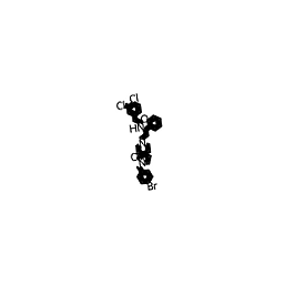 O=C(Cc1ccc(Cl)c(Cl)c1)NC(CCN1CCC2(CC1)CCN(Cc1ccc(Br)cc1)C2=O)c1ccccc1